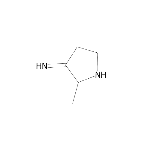 CC1NCCC1=N